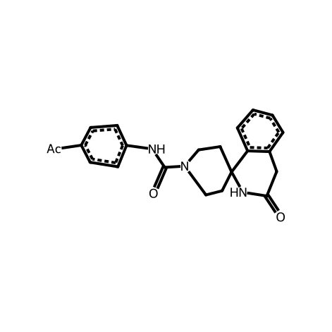 CC(=O)c1ccc(NC(=O)N2CCC3(CC2)NC(=O)Cc2ccccc23)cc1